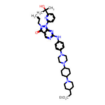 C=CCn1c(=O)c2cnc(Nc3ccc(N4CCN(C5CCC(N6CCC(CC(=O)OCC)CC6)CC5)CC4)cc3)nc2n1-c1cccc(C(C)(C)O)n1